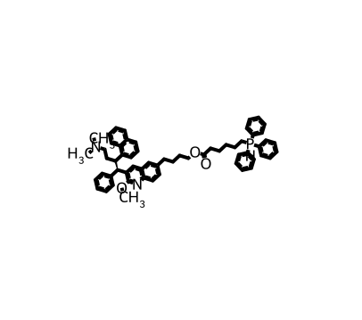 COc1nc2ccc(CCCCOC(=O)CCCCC[PH](c3ccccc3)(c3ccccc3)c3ccccc3)cc2cc1[C@@H](c1ccccc1)C(CCN(C)C)c1cccc2ccccc12